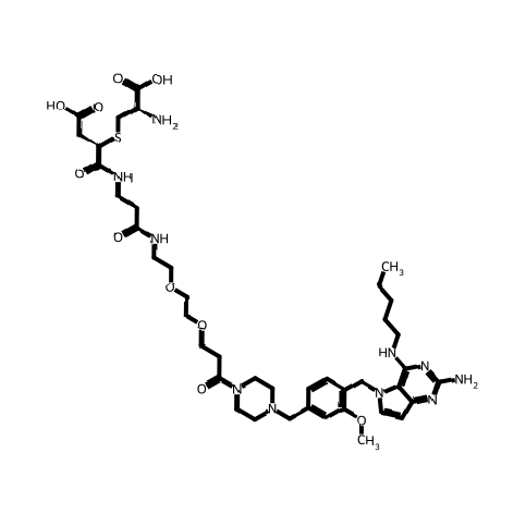 CCCCCNc1nc(N)nc2ccn(Cc3ccc(CN4CCN(C(=O)CCOCCOCCNC(=O)CCNC(=O)[C@@H](CC(=O)O)SC[C@H](N)C(=O)O)CC4)cc3OC)c12